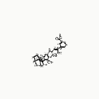 COC(=O)c1cccc(/C(=C/CCc2ccc(C34CC5CC(CC(C5)C3)C4)c(OC)c2)CO)c1